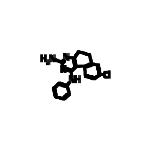 Nc1nc2c(c(Nc3ccccc3)n1)-c1ccc(Cl)cc1CC2